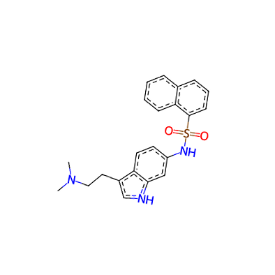 CN(C)CCc1c[nH]c2cc(NS(=O)(=O)c3cccc4ccccc34)ccc12